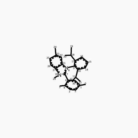 Cc1ccc(C)c(-c2n(-c3c(C(C)C)cccc3C(C)C)c3cc(C)ccc3[n+]2C)c1